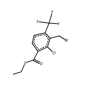 CCOC(=O)c1ccc(C(F)(F)F)c(CBr)c1Cl